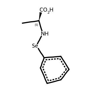 C[C@H](N[Se]c1ccccc1)C(=O)O